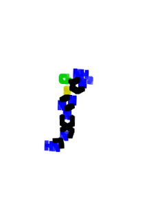 Nc1nccc(Sc2cnc(N3CCC4(CC3)CCN(C3CNC3)C4)cn2)c1Cl